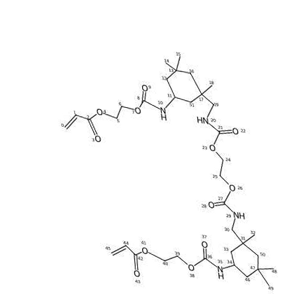 C=CC(=O)OCCOC(=O)NC1CC(C)(C)CC(C)(CNC(=O)OCCOC(=O)NCC2(C)CC(NC(=O)OCCOC(=O)C=C)CC(C)(C)C2)C1